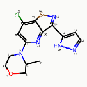 CC1COCCN1c1cc(Cl)c2snc(-c3ccn[nH]3)c2n1